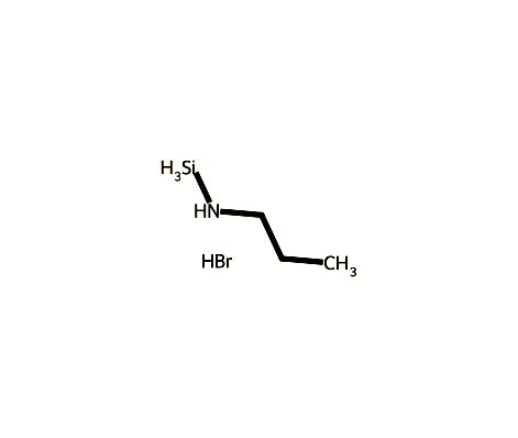 Br.CCCN[SiH3]